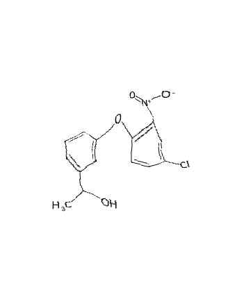 CC(O)c1cccc(Oc2ccc(Cl)cc2[N+](=O)[O-])c1